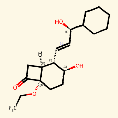 O=C1C[C@H]2[C@H](/C=C/[C@@H](O)C3CCCCC3)[C@@H](O)CC[C@@]12OCC(F)(F)F